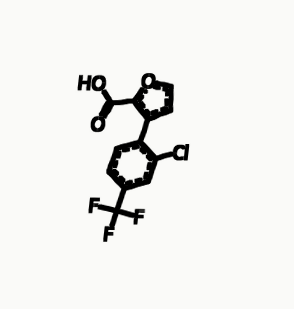 O=C(O)c1occc1-c1ccc(C(F)(F)F)cc1Cl